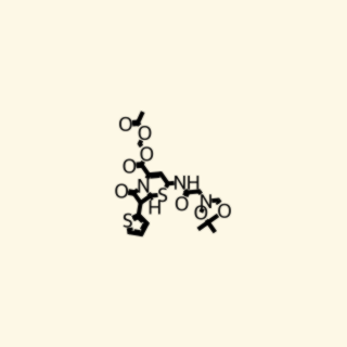 CC(=O)OCOC(=O)C1=CC(NC(=O)CN(C=O)OC(C)(C)C)S[C@@H]2C(c3cccs3)C(=O)N12